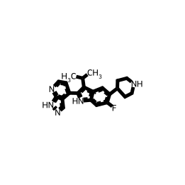 CC(C)c1c(-c2ccnc3[nH]ncc23)[nH]c2cc(F)c(C3CCNCC3)cc12